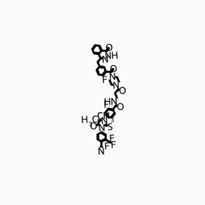 CC1(C)C(=O)N(c2ccc(C#N)c(C(F)(F)F)c2)C(=S)N1c1ccc(C(=O)NCCC(=O)N2CCN(C(=O)c3cc(Cc4n[nH]c(=O)c5ccccc45)ccc3F)CC2)c(F)c1